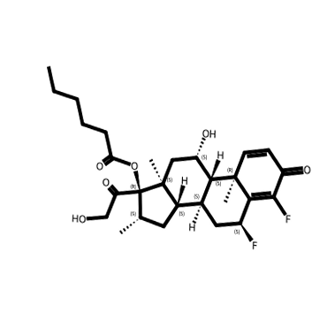 CCCCCC(=O)O[C@]1(C(=O)CO)[C@@H](C)C[C@H]2[C@@H]3C[C@H](F)C4=C(F)C(=O)C=C[C@]4(C)[C@H]3[C@@H](O)C[C@@]21C